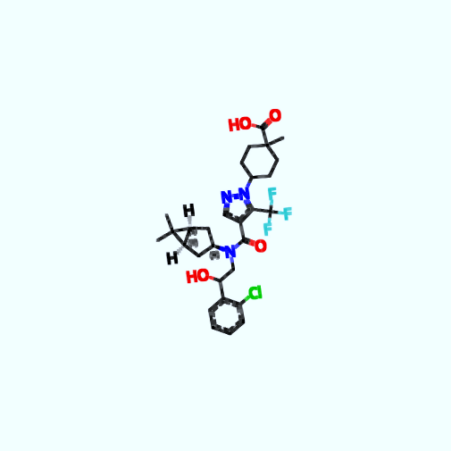 CC1(C(=O)O)CCC(n2ncc(C(=O)N(CC(O)c3ccccc3Cl)[C@H]3C[C@@H]4[C@H](C3)C4(C)C)c2C(F)(F)F)CC1